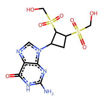 Nc1nc2c(ncn2C2CC(S(=O)(=O)CO)C2S(=O)(=O)CO)c(=O)[nH]1